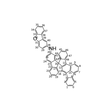 c1ccc2c(c1)-c1cccc3c4c(cc-2c13)C1(c2ccccc2-c2ccc(Nc3ccc5oc6ccccc6c5c3)cc21)c1ccccc1-4